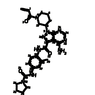 C=CC(=O)N1CCC[C@@H](n2nc(C(=O)Nc3ccc(NC(=O)N4CCCC4)cc3C)c3c(N)ncnc32)C1